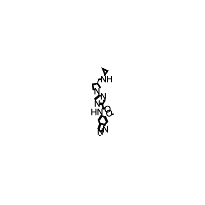 COc1cc2nn(C)cc2cc1NC(=O)c1cnc(N2CC[C@@H](CNC3CC3)C2)cn1